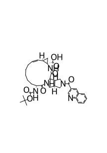 CC(C)(C)OC(=O)N[C@@H]1CCCCC/C=C\[C@H]2C[C@@]2(C(=O)O)NC(=O)[C@@H]2[C@H]3CN(C(=O)c4cnc5ccccc5c4)C[C@H]3CN2C1=O